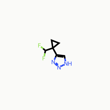 FC(F)C1(c2c[nH]nn2)CC1